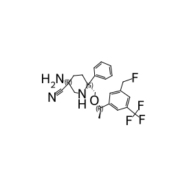 C[C@@H](OC[C@@]1(c2ccccc2)CC[C@](N)(C#N)CN1)c1cc(CF)cc(C(F)(F)F)c1